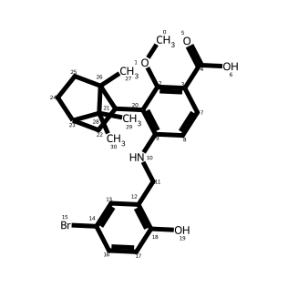 COc1c(C(=O)O)ccc(NCc2cc(Br)ccc2O)c1C1CC2CCC1(C)C2(C)C